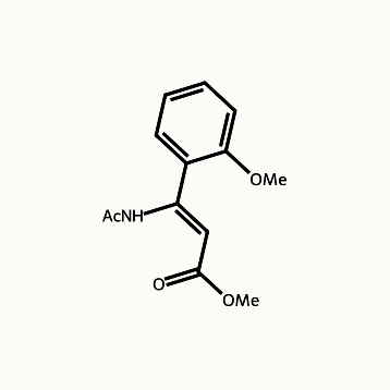 COC(=O)C=C(NC(C)=O)c1ccccc1OC